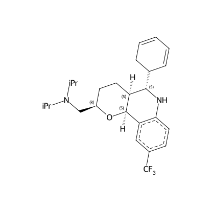 CC(C)N(C[C@H]1CC[C@@H]2[C@H](O1)c1cc(C(F)(F)F)ccc1N[C@H]2C1C=CC=CC1)C(C)C